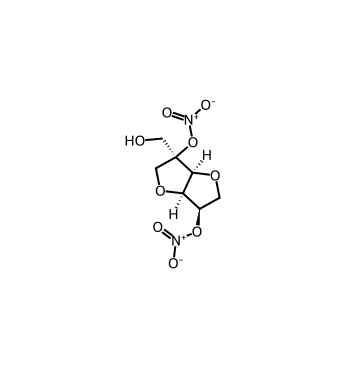 O=[N+]([O-])O[C@@H]1CO[C@H]2[C@@H]1OC[C@@]2(CO)O[N+](=O)[O-]